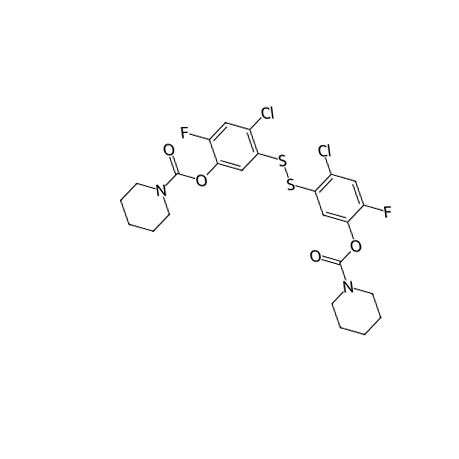 O=C(Oc1cc(SSc2cc(OC(=O)N3CCCCC3)c(F)cc2Cl)c(Cl)cc1F)N1CCCCC1